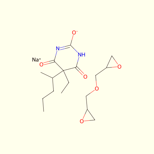 C(OCC1CO1)C1CO1.CCCC(C)C1(CC)C(=O)N=C([O-])NC1=O.[Na+]